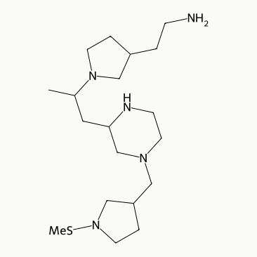 CSN1CCC(CN2CCNC(CC(C)N3CCC(CCN)C3)C2)C1